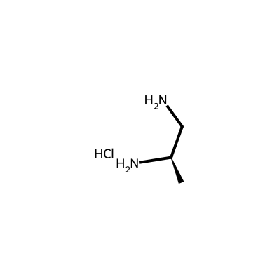 C[C@@H](N)CN.Cl